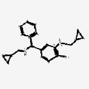 Fc1ccc(C(NCC2CC2)c2ccccc2)cc1NCC1CC1